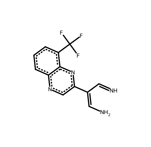 N=C/C(=C\N)c1cnc2cccc(C(F)(F)F)c2n1